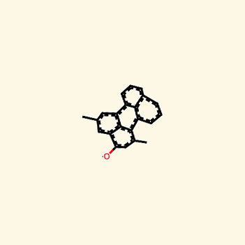 Cc1cc2c([O])cc(C)c3c4cccc5cccc(c(c1)c23)c54